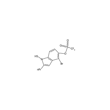 CCCc1cc2c(Br)c(OS(=O)(=O)C(F)(F)F)ccc2n1S